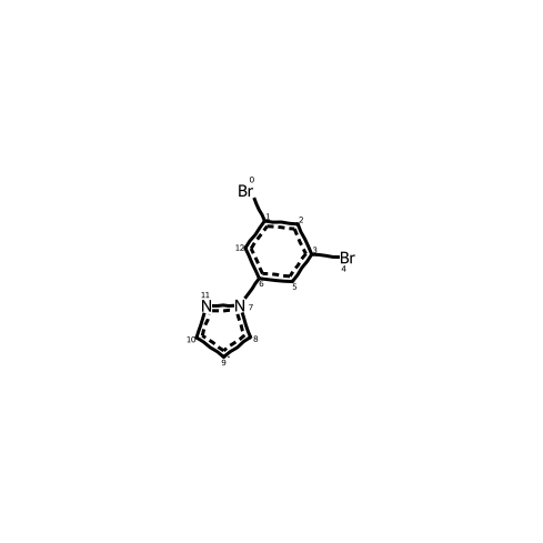 Brc1cc(Br)cc(-n2c[c]cn2)c1